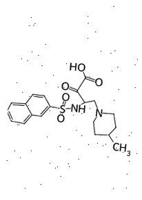 CC1CCN(CC(NS(=O)(=O)c2ccc3ccccc3c2)C(=O)C(=O)O)CC1